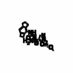 COC[C@H]1Cn2ncc(S(N)(=O)=NC(=O)Nc3c4c(cc5c3CC5)CCC4)c2O1